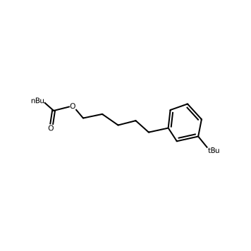 CCCCC(=O)OCCCCCc1cccc(C(C)(C)C)c1